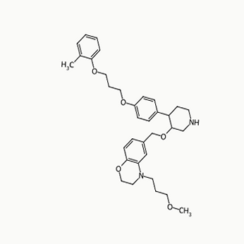 COCCCN1CCOc2ccc(COC3CNCCC3c3ccc(OCCCOc4ccccc4C)cc3)cc21